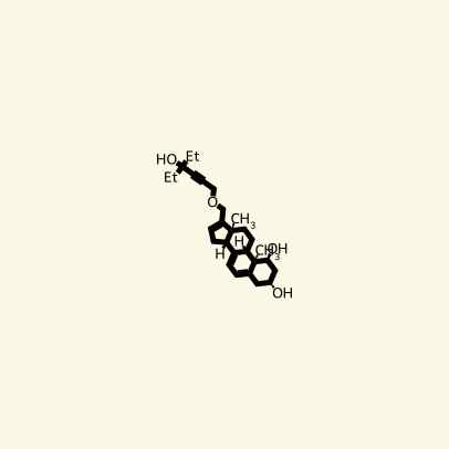 CCC(O)(C#CCOCC1=CC[C@H]2C3=CC=C4C[C@@H](O)C[C@H](O)[C@]4(C)[C@H]3CC[C@]12C)CC